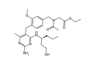 CCC[C@@H](CCO)Nc1nc(N)nc(C)c1Cc1ccc(CN(CC(=O)OCC)C(C)=O)cc1OC